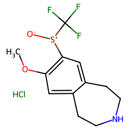 COc1cc2c(cc1[S+]([O-])C(F)(F)F)CCNCC2.Cl